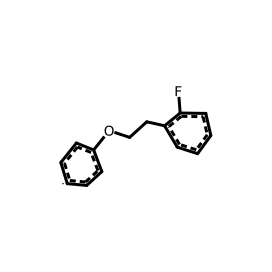 Fc1ccccc1CCOc1cc[c]cc1